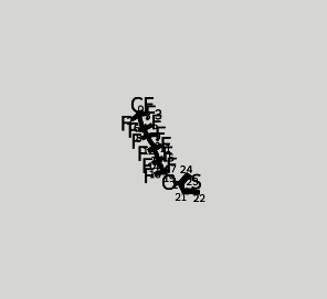 FC(F)(F)C(F)(F)C(F)(F)C(F)(F)C(F)(F)C(F)(F)C(F)(F)Oc1ccsc1